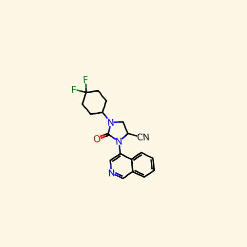 N#CC1CN(C2CCC(F)(F)CC2)C(=O)N1c1cncc2ccccc12